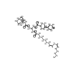 CCCCC/C=C\C/C=C\CCCCCCCC(=O)OCC(COC(=O)CC12CC3CC(CC(C3)C1)C2)COC(=O)C1CCN(c2ccncc2)CC1